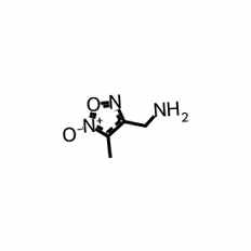 Cc1c(CN)no[n+]1[O-]